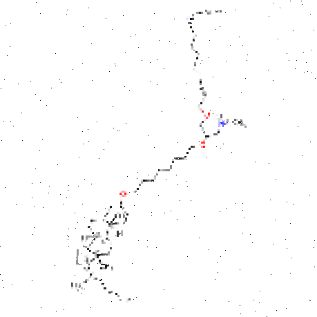 CCCCCCCC/C=C\CCCCCC=CCOCC(CN(C)C)OCCCCCCCCOC1CC[C@@]2(C)C(=CC[C@H]3[C@@H]4CC[C@H]([C@H](C)CCCC(C)C)[C@@]4(C)CC[C@@H]32)C1